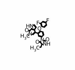 CCC1NC(=O)N(c2ccc(Oc3ccc(F)cc3F)c(-c3cn(C)c(=O)c4[nH]ccc34)c2)C1=O